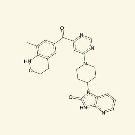 Cc1cc(C(=O)c2cc(N3CCC(n4c(=O)[nH]c5ncccc54)CC3)ncn2)cc2c1NOCC2